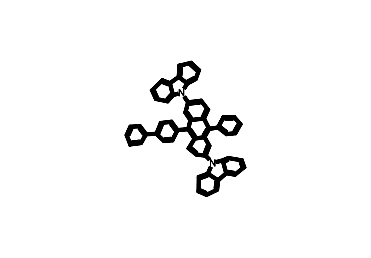 c1ccc(-c2ccc(-c3c4ccc(-n5c6ccccc6c6ccccc65)cc4c(-c4ccccc4)c4ccc(-n5c6ccccc6c6ccccc65)cc34)cc2)cc1